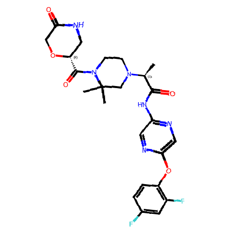 C[C@@H](C(=O)Nc1cnc(Oc2ccc(F)cc2F)cn1)N1CCN(C(=O)[C@H]2CNC(=O)CO2)C(C)(C)C1